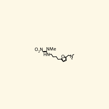 CN/C(=C\[N+](=O)[O-])NCCCCc1ccc(CN(C)C)o1